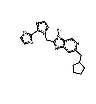 CCn1c(Cn2ccnc2-c2nccs2)nc2cc(CC3CCCC3)ncc21